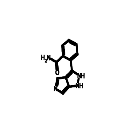 NC(=O)c1ccccc1-c1[nH][nH]c2cncc1-2